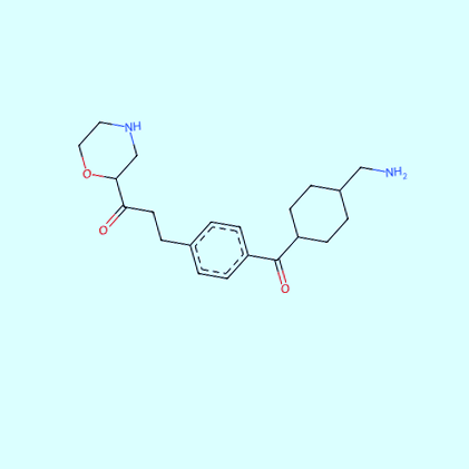 NCC1CCC(C(=O)c2ccc(CCC(=O)C3CNCCO3)cc2)CC1